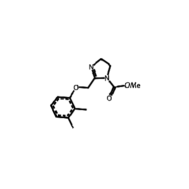 COC(=O)N1CCN=C1COc1cccc(C)c1C